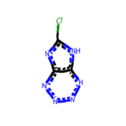 Clc1nc2nnnnc2[nH]1